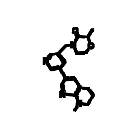 CC1OCCN(Cc2cncc(-c3cnc4c(c3)CCCN4C)c2)C1=O